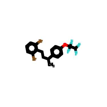 CC(CCc1c(Br)cccc1Br)c1ccc(OC(F)(F)C(F)F)cc1